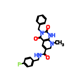 CN1CC(C(=O)NCc2ccc(F)cc2)=Cc2c1[nH]c(=O)n(Cc1ccccc1)c2=O